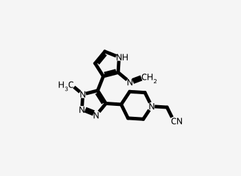 C=Nc1[nH]ccc1-c1c(C2CCN(CC#N)CC2)nnn1C